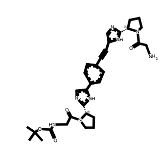 CC(C)(C)OC(=O)NCC(=O)N1CCC[C@H]1c1ncc(-c2ccc(C#Cc3cnc([C@@H]4CCCN4C(=O)CN)[nH]3)cc2)[nH]1